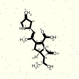 C=C1CN[C@H](/C=C(\C)C2=C(C(=O)O)N3C(=O)[C@H]([C@@H](C)O)[C@H]3C2)C1